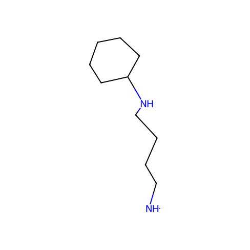 [NH]CCCCNC1CCCCC1